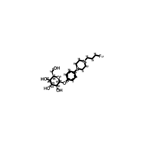 OC[C@H]1O[C@@H](Oc2ccc(N3CCN(CCCF)CC3)cc2)[C@H](O)[C@@H](O)[C@H]1O